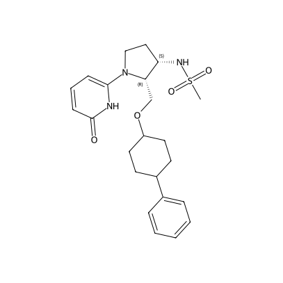 CS(=O)(=O)N[C@H]1CCN(c2cccc(=O)[nH]2)[C@H]1COC1CCC(c2ccccc2)CC1